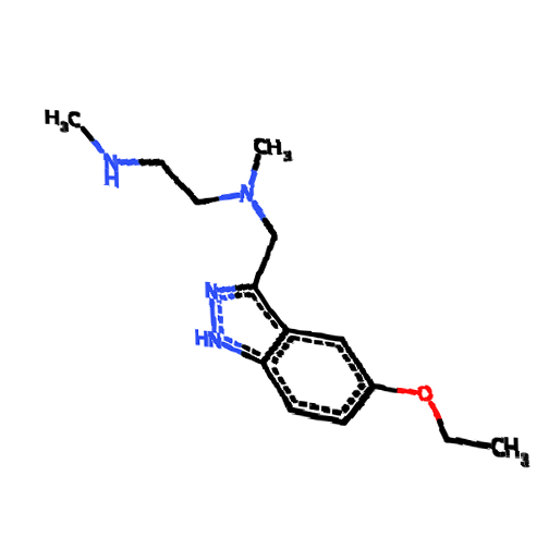 CCOc1ccc2[nH]nc(CN(C)CCNC)c2c1